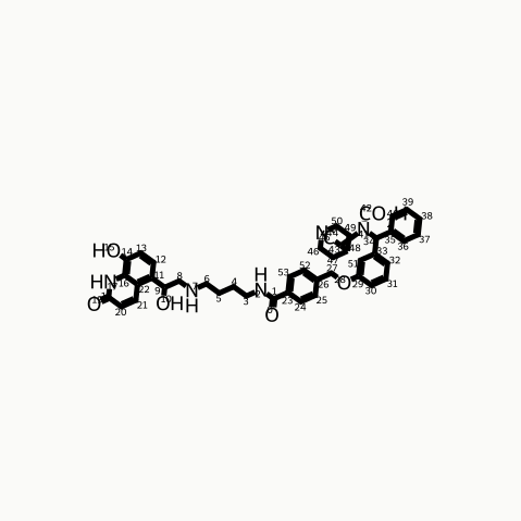 O=C(NCCCCNCC(O)c1ccc(O)c2[nH]c(=O)ccc12)c1ccc(COc2cccc(C(c3ccccc3)N(C(=O)O)C3CN4CCC3CC4)c2)cc1